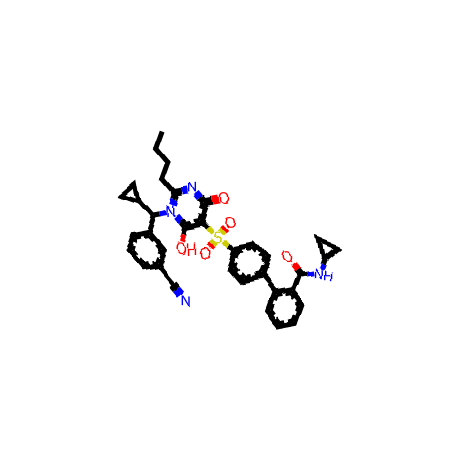 CCCCc1nc(=O)c(S(=O)(=O)c2ccc(-c3ccccc3C(=O)NC3CC3)cc2)c(O)n1C(c1cccc(C#N)c1)C1CC1